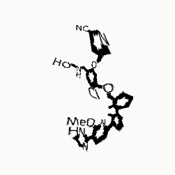 COc1nc(-c2cccc(-c3cccc(COc4cc(OCc5cncc(C#N)c5)c(CNCO)cc4Cl)c3C)c2C)ccc1C1=NCCN1